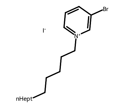 CCCCCCCCCCCC[n+]1cccc(Br)c1.[I-]